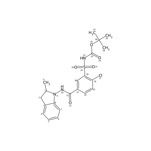 CC1Cc2ccccc2N1NC(=O)c1ccc(Cl)c(S(=O)(=O)NC(=O)OC(C)(C)C)c1